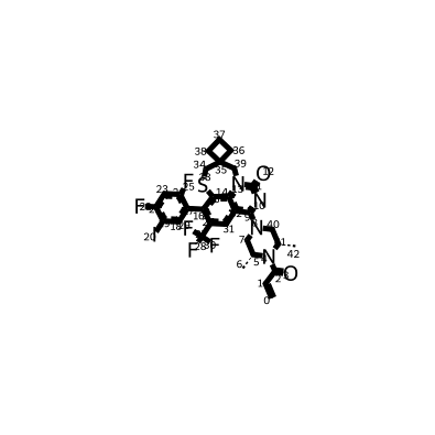 C=CC(=O)N1[C@H](C)CN(c2nc(=O)n3c4c(c(-c5cc(I)c(F)cc5F)c(C(F)(F)F)cc24)SCC2(CCC2)C3)C[C@@H]1C